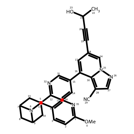 COc1ccc(CN2C3CC2CN(c2ccc(-c4cc(C#CC(C)O)cn5ncc(C#N)c45)cn2)C3)cn1